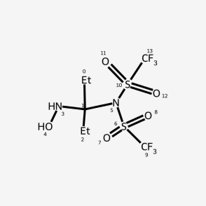 CCC(CC)(NO)N(S(=O)(=O)C(F)(F)F)S(=O)(=O)C(F)(F)F